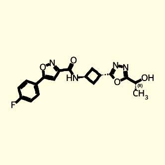 C[C@@H](O)c1nnc([C@H]2C[C@H](NC(=O)c3cc(-c4ccc(F)cc4)on3)C2)o1